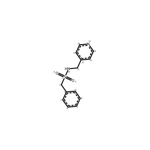 O=S(=O)(Cc1ccccc1)NCc1ccncc1